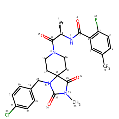 CC(C)[C@@H](NC(=O)c1cc(C(F)(F)F)ccc1F)C(=O)N1CCC2(CC1)C(=O)N(C)C(=O)N2Cc1ccc(Cl)cc1